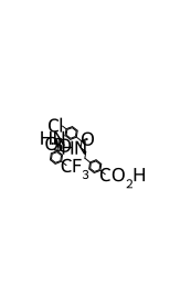 O=C(O)c1ccc(CCNC(=O)c2ccc(Cl)c(NS(=O)(=O)c3cccc(C(F)(F)F)c3)c2)cc1